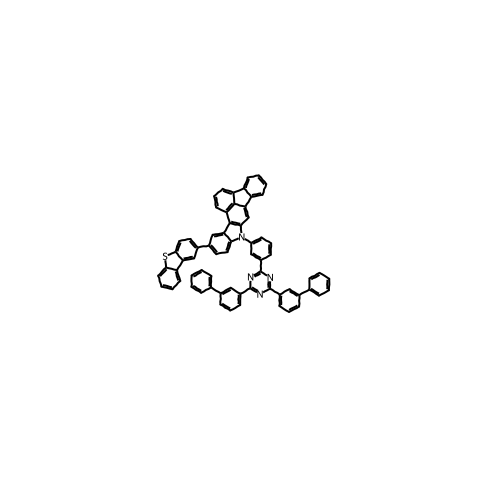 c1ccc(-c2cccc(-c3nc(-c4cccc(-c5ccccc5)c4)nc(-c4cccc(-n5c6ccc(-c7ccc8sc9ccccc9c8c7)cc6c6c7cccc8c7c(cc65)-c5ccccc5-8)c4)n3)c2)cc1